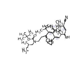 C=C(C)/C(C(=C)CCN(CC(C)C)C(=O)OC(C)(C)C)=C(C(=C\C(C)C(=N)/C=C(/C#N)NC)/C1CC1)\C(C)=N/C